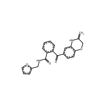 C=C1COc2ccc(C(=O)c3ccccc3C(=O)NCc3ccco3)cc2N1